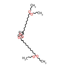 CCCCOC(CCCCCCCCCCC=CC(OC)OC(C=CCCCCCCCCCCC(OCCCC)OCCCC)OC)OCCCC